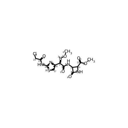 CON=C(C(=O)NC1C(=O)NC1C(=O)OC)c1csc(NC(=O)CCl)n1